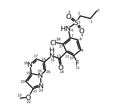 CCCS(=O)(=O)Nc1ccc(F)c(C(=O)Nc2cnc3cc(OC)nn3c2)c1Cl